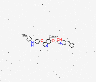 COc1cc2c(Oc3ccc(Nc4ccc(C(C)(C)C)cc4)cc3)ccnc2cc1OCC(O)CN1CCC(Cc2ccccc2)CC1